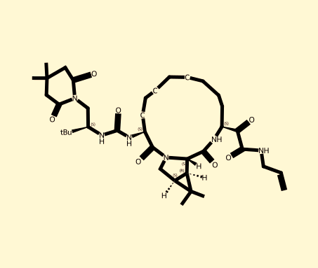 C=CCNC(=O)C(=O)[C@@H]1CCCCCCCC[C@H](NC(=O)N[C@H](CN2C(=O)CC(C)(C)CC2=O)C(C)(C)C)C(=O)N2C[C@H]3[C@@H]([C@H]2C(=O)N1)C3(C)C